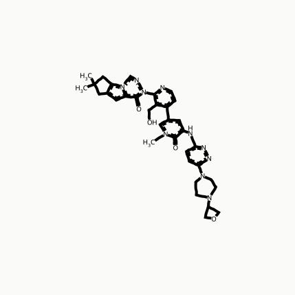 Cn1cc(-c2ccnc(-n3ncn4c5c(cc4c3=O)CC(C)(C)C5)c2CO)cc(Nc2ccc(N3CCN(C4COC4)CC3)nn2)c1=O